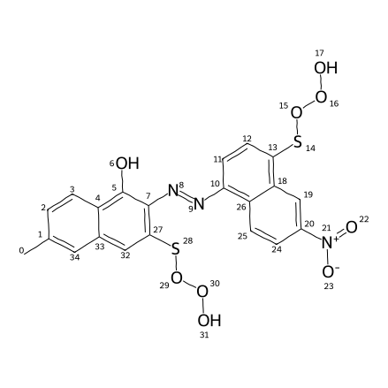 Cc1ccc2c(O)c(N=Nc3ccc(SOOO)c4cc([N+](=O)[O-])ccc34)c(SOOO)cc2c1